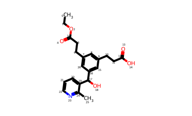 CCOC(=O)CCc1cc(CCC(=O)O)cc(C(O)c2cccnc2C)c1